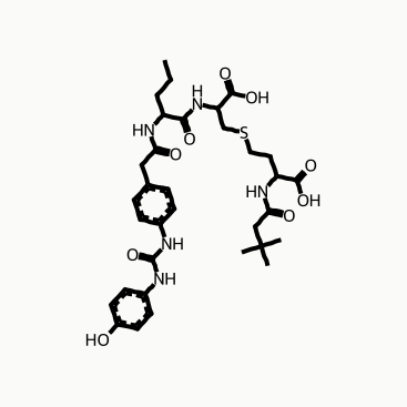 CCCC(NC(=O)Cc1ccc(NC(=O)Nc2ccc(O)cc2)cc1)C(=O)NC(CSCCC(NC(=O)CC(C)(C)C)C(=O)O)C(=O)O